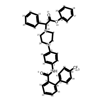 O=C(Nc1ccc(N2CCN(C(C(=O)Oc3ccccc3)c3ccccc3)CC2)cc1)c1ccccc1-c1ccc(C(F)(F)F)cc1